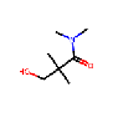 CN(C)C(=O)C(C)(C)CO